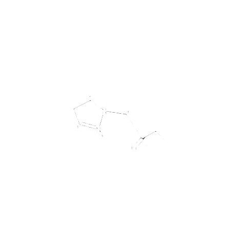 CCC(=O)CN1CCC=N1